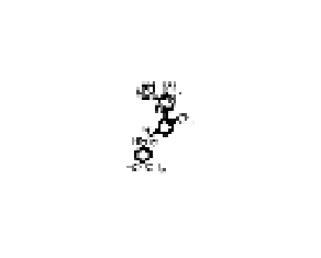 Cc1ccc(S(=O)(=O)N[C@H]2CC[C@@](C)(O)CC2)cc1-c1cnc(N)c(-n2cncn2)n1